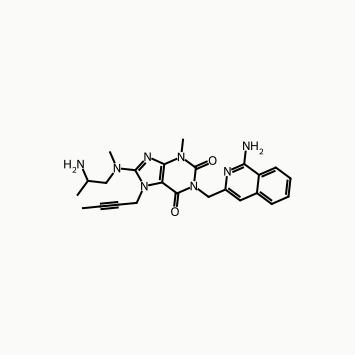 CC#CCn1c(N(C)CC(C)N)nc2c1c(=O)n(Cc1cc3ccccc3c(N)n1)c(=O)n2C